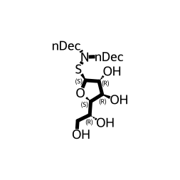 CCCCCCCCCCN(CCCCCCCCCC)S[C@@H]1O[C@@H]([C@H](O)CO)[C@H](O)[C@H]1O